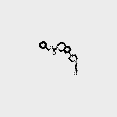 O=CCCN1CCN(c2ccc3c(c2)CN(C(=O)OCc2ccccc2)CCC3)CC1